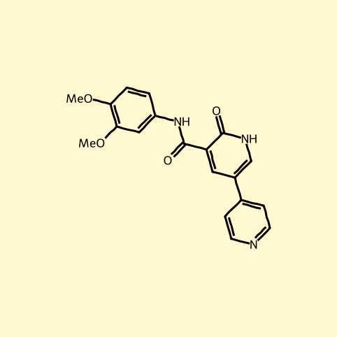 COc1ccc(NC(=O)c2cc(-c3ccncc3)c[nH]c2=O)cc1OC